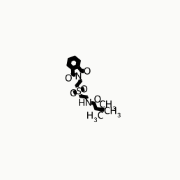 CC(C)(C)CC(=O)NCCS(=O)(=O)CCN1C(=O)c2ccccc2C1=O